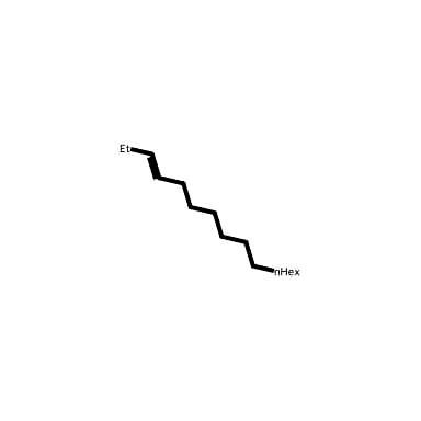 CC/C=C/CCCCCCCCCCCC